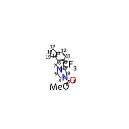 COC(=O)N1CCN(Cc2c(C(F)(F)F)ccc3c2CCC3)CC1